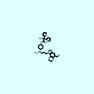 CN(CCCn1nnc2cc(C=O)c3c(c21)OCCO3)[C@H]1CC[C@H](OC(=O)C(O)(c2cccs2)c2cccs2)CC1